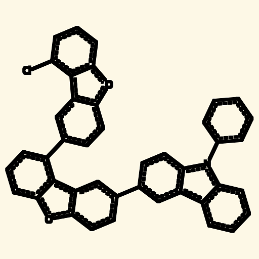 Clc1cccc2oc3ccc(-c4cccc5oc6ccc(-c7ccc8c(c7)c7ccccc7n8-c7ccccc7)cc6c45)cc3c12